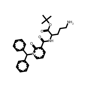 CC(C)(C)OC(=O)C(CCCN)NC(=O)c1cccn(C(c2ccccc2)c2ccccc2)c1=O